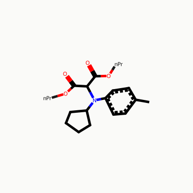 CCCOC(=O)C(C(=O)OCCC)N(c1ccc(C)cc1)C1CCCC1